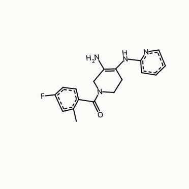 Cc1cc(F)ccc1C(=O)N1CCC(Nc2ccccn2)=C(N)C1